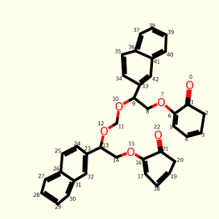 O=C1CC=CC=C1OCC(OCOC(COC1=CC=CCC1=O)c1ccc2ccccc2c1)c1ccc2ccccc2c1